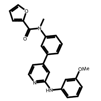 COc1cccc(Nc2cc(-c3cccc(N(C)C(=O)c4ccco4)c3)ccn2)c1